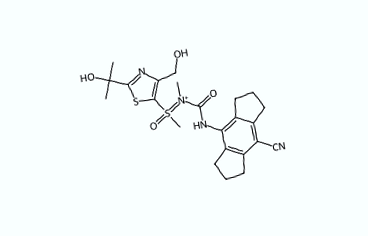 C[N+](C(=O)Nc1c2c(c(C#N)c3c1CCC3)CCC2)=S(C)(=O)c1sc(C(C)(C)O)nc1CO